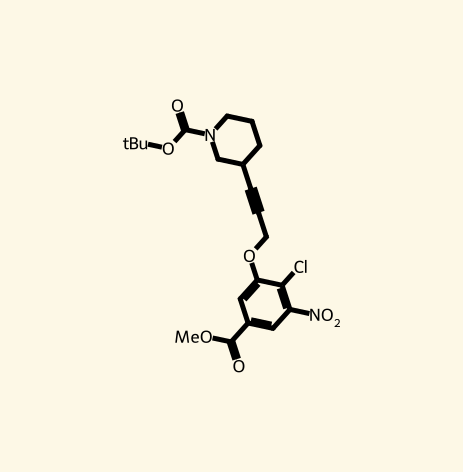 COC(=O)c1cc(OCC#CC2CCCN(C(=O)OC(C)(C)C)C2)c(Cl)c([N+](=O)[O-])c1